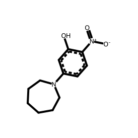 O=[N+]([O-])c1ccc(N2CCCCCC2)cc1O